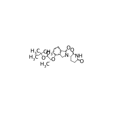 C[C@@H](Oc1cccc2c1CN([C@H]1CCC(=O)NC1=O)C2=O)C(=O)OC(C)(C)C